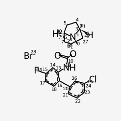 C[N+]1(C)[C@@H]2CC[C@H]1C[C@@H](OC(=O)Nc1cc(F)ccc1-c1cccc(Cl)c1)C2.[Br-]